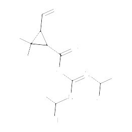 CC(C)N=C(NC(C)C)OC(=O)C1C(C=O)C1(C)C